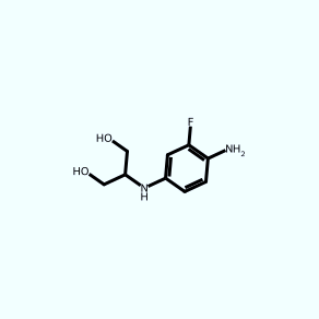 Nc1ccc(NC(CO)CO)cc1F